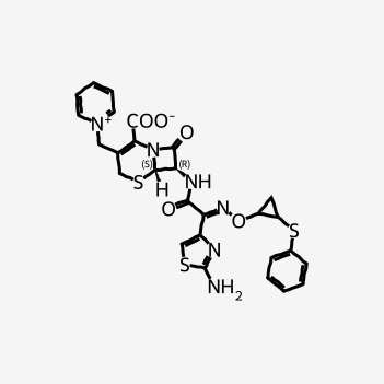 Nc1nc(C(=NOC2CC2Sc2ccccc2)C(=O)N[C@@H]2C(=O)N3C(C(=O)[O-])=C(C[n+]4ccccc4)CS[C@@H]23)cs1